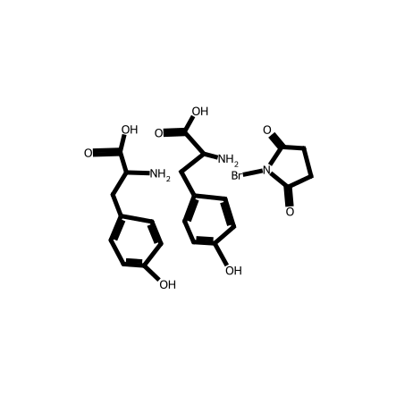 NC(Cc1ccc(O)cc1)C(=O)O.NC(Cc1ccc(O)cc1)C(=O)O.O=C1CCC(=O)N1Br